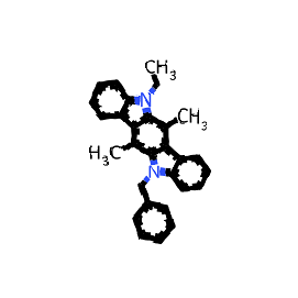 CCn1c2ccccc2c2c(C)c3c(c(C)c21)c1ccccc1n3Cc1ccccc1